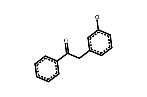 O=C(Cc1cccc(Cl)c1)c1ccccc1